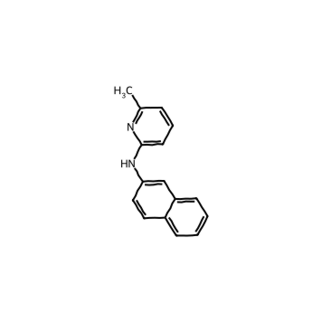 Cc1cccc(Nc2ccc3ccccc3c2)n1